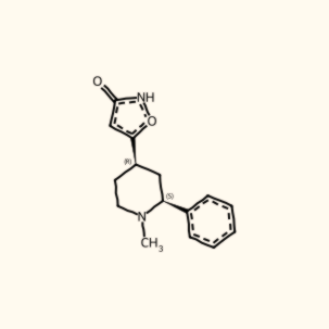 CN1CC[C@@H](c2cc(=O)[nH]o2)C[C@H]1c1ccccc1